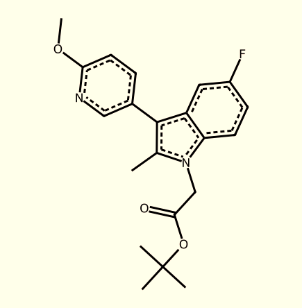 COc1ccc(-c2c(C)n(CC(=O)OC(C)(C)C)c3ccc(F)cc23)cn1